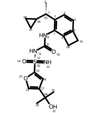 C[C@H](c1ccc2c(c1NC(=O)N[S@@](=N)(=O)c1cc(C(C)(C)O)co1)CC2)C1CC1